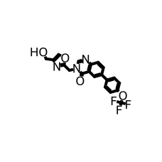 O=c1c2cc(-c3ccc(OC(F)(F)F)cc3)ccc2ncn1Cc1nc(CO)co1